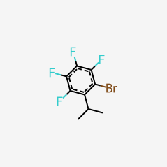 CC(C)c1c(F)c(F)c(F)c(F)c1Br